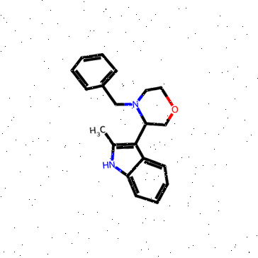 Cc1[nH]c2ccccc2c1C1COCCN1Cc1ccccc1